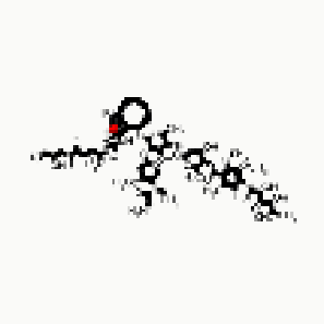 CCC(O)C(OC)C(O)C(O)Oc1c(I)c(C)c(C(=O)SC2C(O)CC(ONC3C(C)OC(O[C@H]4C#C/C=C\C#C[C@]5(O)CC(=O)C(NC(=O)OC)=C4/C5=C\CSSC(C)CCC(=O)NCC(O)CO)C(OC4CC(OC)C(N(CC)C(=O)CN)CO4)C3O)OC2C)c(OC)c1OC